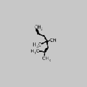 C=CCC(C)(C#N)C=C(C)C